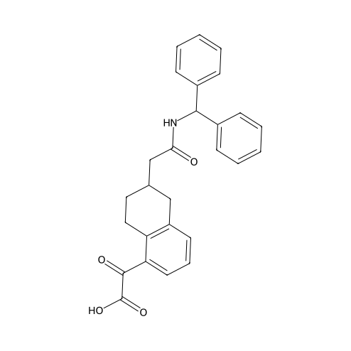 O=C(CC1CCc2c(cccc2C(=O)C(=O)O)C1)NC(c1ccccc1)c1ccccc1